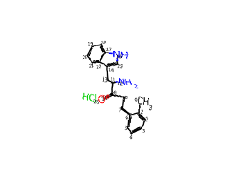 Cc1ccccc1CCC(=O)C(N)Cc1c[nH]c2ccccc12.Cl